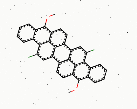 O=S(=O)(O)Oc1c2ccccc2c2c(Cl)cc3c4ccc5c(OS(=O)(=O)O)c6ccccc6c6c(Cl)cc(c7ccc1c2c73)c4c56